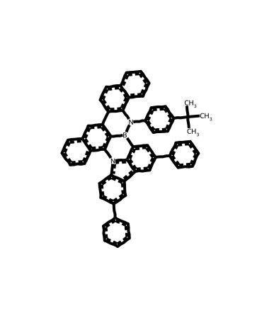 CC(C)(C)c1ccc(N2B3c4c(cc5ccccc5c4-n4c5ccc(-c6ccccc6)cc5c5cc(-c6ccccc6)cc3c54)-c3ccc4ccccc4c32)cc1